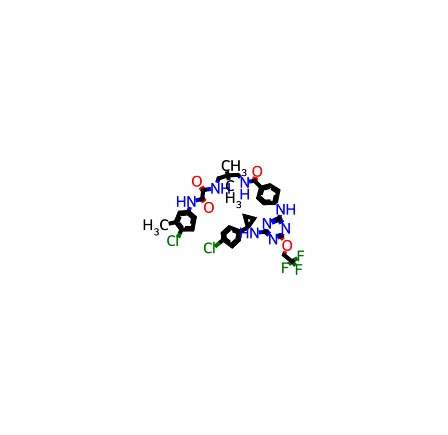 Cc1cc(NC(=O)C(=O)NCC(C)(C)CNC(=O)c2ccc(Nc3nc(NC4(c5ccc(Cl)cc5)CC4)nc(OCC(F)(F)F)n3)cc2)ccc1Cl